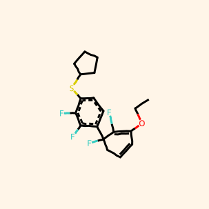 CCOC1=C(F)C(F)(c2ccc(SC3CCCC3)c(F)c2F)CC=C1